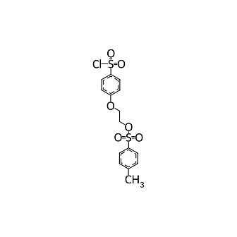 Cc1ccc(S(=O)(=O)OCCOc2ccc(S(=O)(=O)Cl)cc2)cc1